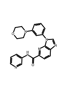 O=C(Nc1cccnc1)c1ccc2ncn(-c3cccc(N4CCOCC4)c3)c2n1